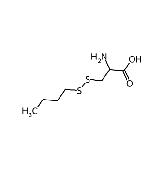 CCCCSSCC(N)C(=O)O